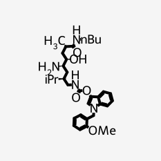 CCCCNC(=O)[C@H](C)C[C@H](O)[C@@H](N)C[C@@H](CNC(=O)Oc1cn(Cc2ccccc2OC)c2ccccc12)C(C)C